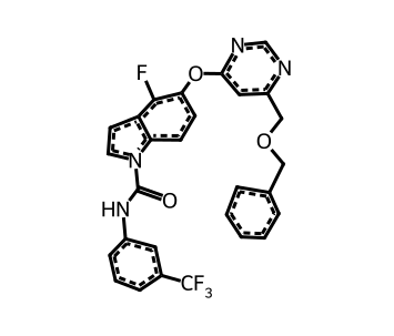 O=C(Nc1cccc(C(F)(F)F)c1)n1ccc2c(F)c(Oc3cc(COCc4ccccc4)ncn3)ccc21